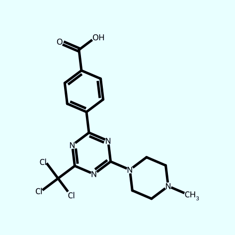 CN1CCN(c2nc(-c3ccc(C(=O)O)cc3)nc(C(Cl)(Cl)Cl)n2)CC1